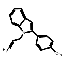 C=CCn1c(-c2ccc(C)cc2)cc2ccccc21